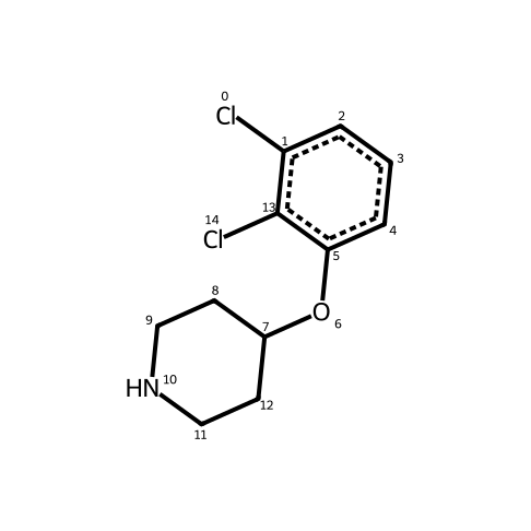 Clc1cccc(OC2CCNCC2)c1Cl